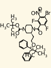 CC(C)(C)OC(=O)N1CCN(C(=O)c2c(F)cc(Br)c([N+](=O)[O-])c2F)[C@@H](CCO[Si](c2ccccc2)(c2ccccc2)C(C)(C)C)C1